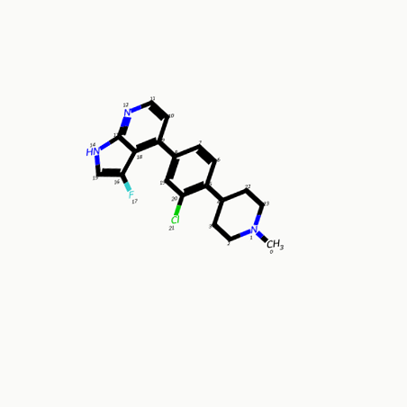 CN1CCC(c2ccc(-c3ccnc4[nH]cc(F)c34)cc2Cl)CC1